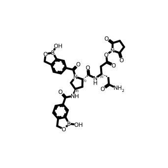 NC(=O)C[C@@H](CC(=O)ON1C(=O)CCC1=O)NC(=O)[C@@H]1C[C@@H](NC(=O)c2ccc3c(c2)B(O)OC3)CN1C(=O)c1ccc2c(c1)B(O)OC2